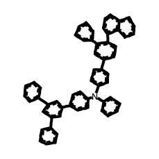 c1ccc(-c2cc(-c3ccccc3)cc(-c3ccc(N(c4ccccc4)c4ccc(-c5ccc(-c6cccc7ccccc67)c(-c6ccccc6)c5)cc4)cc3)c2)cc1